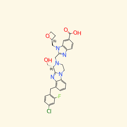 O=C(O)c1ccc2nc(CN3CCn4c(nc5c(Cc6ccc(Cl)cc6F)cccc54)[C@@H]3CO)n(C[C@@H]3CCO3)c2c1